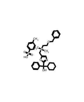 C[N+](C)(CCOCc1ccccc1)Cc1cnc(C(O)(c2ccccc2)C2CCCCC2)o1.Cc1ccc(S(=O)(=O)O)cc1